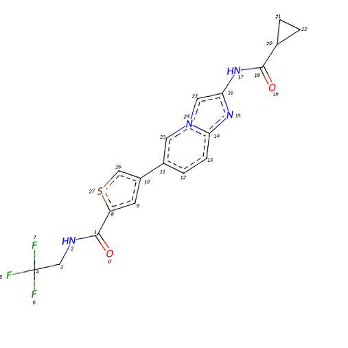 O=C(NCC(F)(F)F)c1cc(-c2ccc3nc(NC(=O)C4CC4)cn3c2)cs1